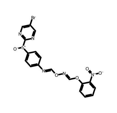 O=[N+]([O-])c1ccccc1O/C=N/O/C=N/c1ccc([S+]([O-])c2ncc(Br)cn2)cc1